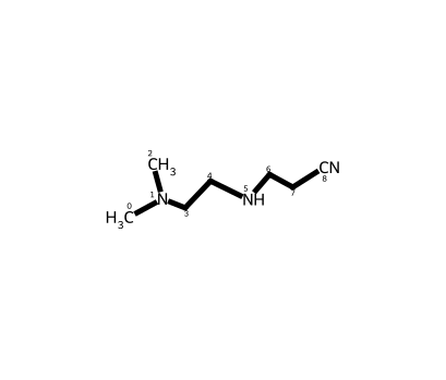 CN(C)CCNCCC#N